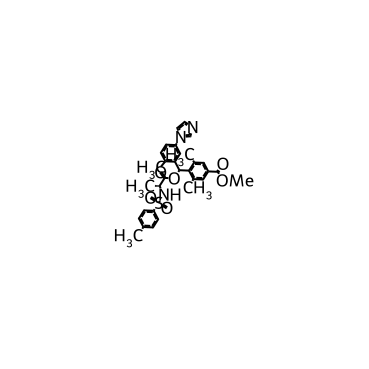 COC(=O)c1cc(C)c(C(OC(=O)[C@H](C)NS(=O)(=O)c2ccc(C)cc2)c2cc(-n3ccnc3)ccc2C)c(C)c1